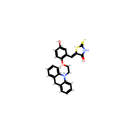 O=C1NC(=S)S/C1=C\c1cc(Br)ccc1OCCN1c2ccccc2Cc2ccccc21